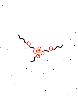 CCCCOCCOP(=O)(OCCC)OCCOCCCC